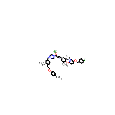 Cc1ccc(OCCc2ccc(CN3CCN(C(=O)/C=C/c4cc(C)c(Oc5ccc(OCc6ccc(F)cc6)cn5)c(C)c4)CC3)cc2C)cc1.Cl